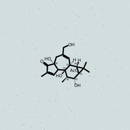 CC(=O)O[C@@]12[C@H](O)[C@@H](C)[C@]3(O)C4C=C(C)C(=O)[C@@]4(O)CC(CO)=C[C@H]3[C@@H]1C2(C)C